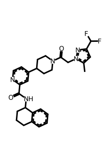 Cc1cc(C(F)F)nn1CC(=O)N1CCC(c2ccnc(C(=O)NC3CCCc4ccccc43)c2)CC1